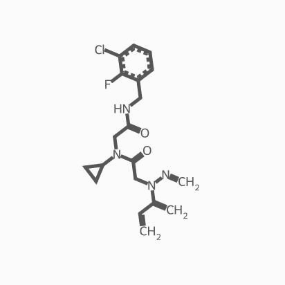 C=CC(=C)N(CC(=O)N(CC(=O)NCc1cccc(Cl)c1F)C1CC1)N=C